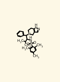 Cc1cc(C)c(S(=O)(=O)NC(C(C)C)C(c2ccccc2)N2CCc3[nH]ncc3C2)c(C)c1